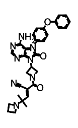 CC(C)(C=C(C#N)C(=O)N1CC(n2c(=O)n(-c3ccc(Oc4ccccc4)cc3)c3c(N)ncnc32)C1)N1CCC1